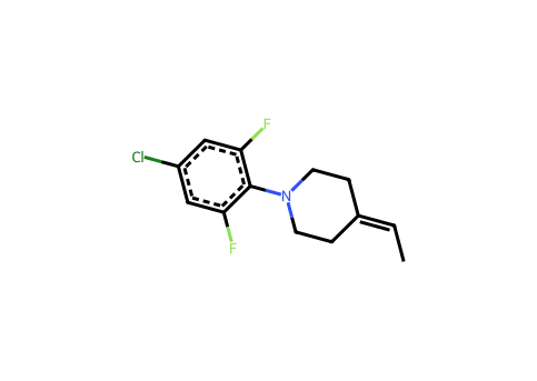 CC=C1CCN(c2c(F)cc(Cl)cc2F)CC1